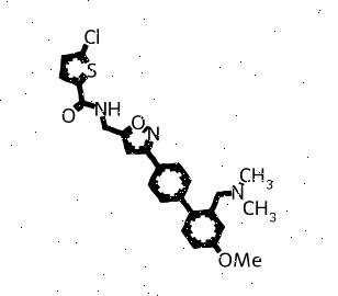 COc1ccc(-c2ccc(-c3cc(CNC(=O)c4ccc(Cl)s4)on3)cc2)c(CN(C)C)c1